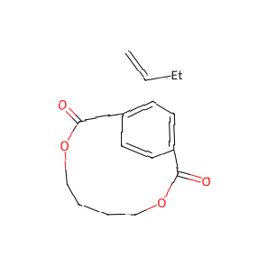 C=CCC.O=C1OCCCCOC(=O)c2ccc1cc2